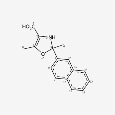 CC1=C(C(=O)O)NC(C)(c2ccc3ccccc3c2)O1